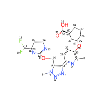 Cc1nc(-c2nnn(C)c2COc2nccc(C(F)F)n2)ccc1O[C@H]1CCC[C@H](C(=O)O)C1